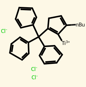 CCCCC1=CCC(C(c2ccccc2)(c2ccccc2)c2ccccc2)=[C]1[Ti+3].[Cl-].[Cl-].[Cl-]